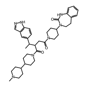 CC(c1ccc2[nH]ncc2c1)C(CC(=O)N1CCC(N2CCc3ccccc3NC2=O)CC1)C(=O)N1CCC(C2CCN(C)CC2)CC1